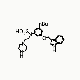 CCCCc1cc(OCc2c[nH]c3ccccc23)cc(N(CCN2CCNCC2)C(=O)O)c1